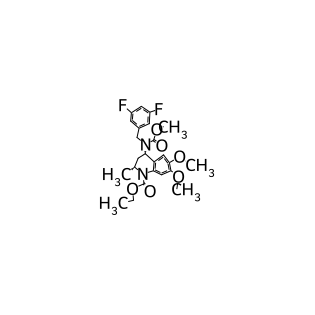 CCOC(=O)N1c2cc(OC)c(OC)cc2[C@H](N(Cc2cc(F)cc(F)c2)C(=O)OC)C[C@@H]1C